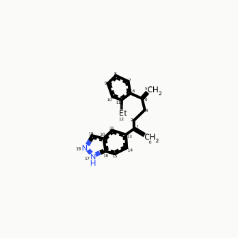 C=C(CCC(=C)c1ccccc1CC)c1ccc2[nH]ncc2c1